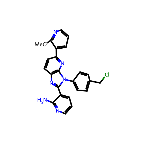 COc1ncccc1-c1ccc2nc(-c3cccnc3N)n(-c3ccc(CCl)cc3)c2n1